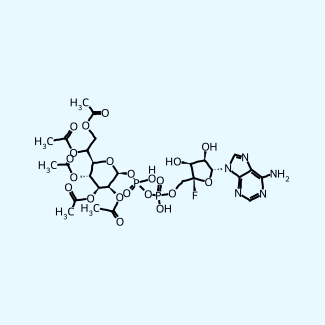 CC(=O)OCC(OC(C)=O)[C@H]1O[C@@H](OP(=O)(O)OP(=O)(O)OC[C@@]2(F)O[C@@H](n3cnc4c(N)ncnc43)[C@H](O)[C@@H]2O)[C@@H](OC(C)=O)[C@@H](OC(C)=O)[C@@H]1OC(C)=O